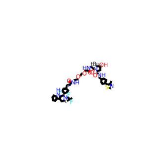 Cc1ncsc1-c1ccc(CNC(=O)[C@@H]2C[C@@H](O)CN2C(=O)C(NC(=O)COCCOCCNC(=O)/C=C/c2cc(F)c([C@@H]3c4[nH]c5ccccc5c4C[C@@H](C)N3CC(C)(C)F)c(F)c2)C(C)(C)C)cc1